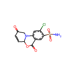 NS(=O)(=O)c1cc2c(cc1Cl)N1CC(=O)C=CC1OC2=O